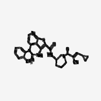 Cc1ccccc1N1C(=O)Nc2c(C(=O)NC3CCCN(C(=O)/C(C#N)=C/C4CC4)C3)sc3nccc1c23